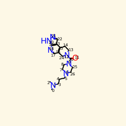 CN(C)CCCN1CCN(C(=O)N2CCc3c(cnc4[nH]ncc34)C2)CC1